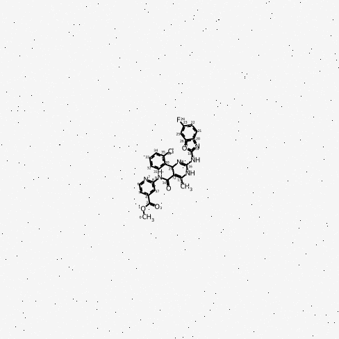 COC(=O)c1ccnc(NC(=O)C2=C(C)NC(Nc3nc4ccc(F)cc4o3)=NC2c2ccccc2Cl)c1